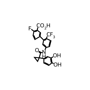 O=C(O)c1cc(-c2cc(NC(=O)C3(c4ccc(O)c(O)c4)CC3)ccc2C(F)(F)F)ccc1F